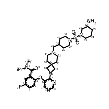 CC(C)N(C(=O)c1cc(F)ccc1Oc1cncnc1N1CC2(CCN(CC3CCN(S(=O)(=O)N4CCC[C@@H](N)C4)CC3)CC2)C1)C(C)C